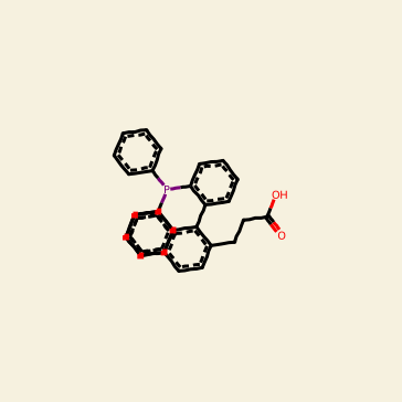 O=C(O)CCc1ccc2ccccc2c1-c1ccccc1P(c1ccccc1)c1ccccc1